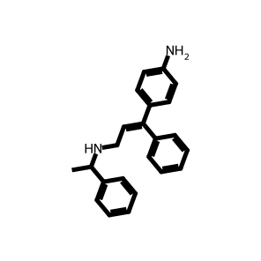 CC(NC/C=C(\c1ccccc1)c1ccc(N)cc1)c1ccccc1